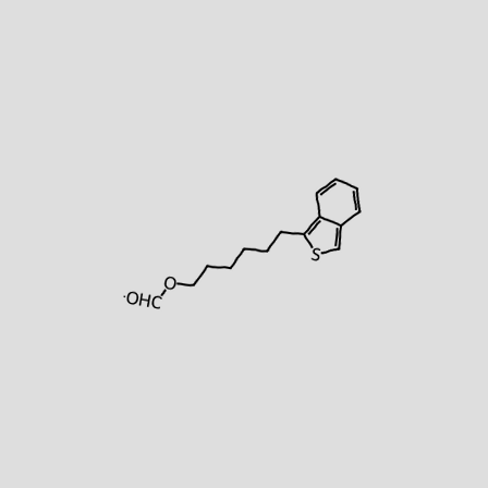 O=[C]OCCCCCCc1scc2ccccc12